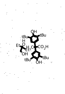 CC(C)(C)c1cc(C(C)(C(=O)O)c2cc(C(C)(C)C)c(O)c(C(C)(C)C)c2)cc(C(C)(C)C)c1O.CCC(O)(CC)CO